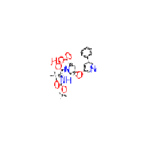 CC(C)(C)OC(=O)N[C@H](C(=O)N1C[C@H](Oc2cncc(-c3ccccc3)c2)C[C@H]1C(=O)O)C(C)(C)C